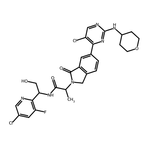 CC(C(=O)NC(CO)c1ncc(Cl)cc1F)N1Cc2ccc(-c3nc(NC4CCOCC4)ncc3Cl)cc2C1=O